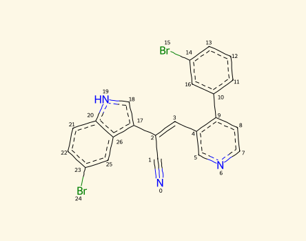 N#CC(=Cc1cnccc1-c1cccc(Br)c1)c1c[nH]c2ccc(Br)cc12